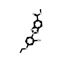 CCOc1ccc(-n2nc3ccc(C(=O)OC)cc3n2)c(O)c1